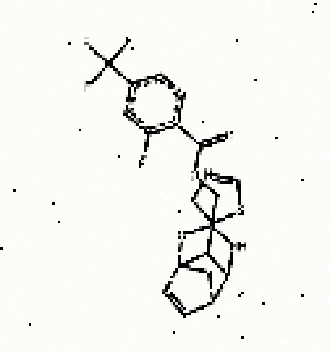 O=C(OCC1NC2C3C=CC(C3)(O1)C2C1CN=CS1)c1ccc(C(F)(F)F)cc1F